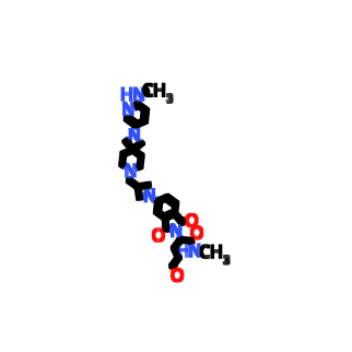 CNC(=O)C(CCC=O)N1C(=O)c2ccc(N3CC(CN4CCC5(CC4)CN(c4ccc(NC)nc4)C5)C3)cc2C1=O